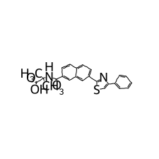 CC(C)(NC(=O)c1ccc2ccc(-c3nc(-c4ccccc4)cs3)cc2c1)C(=O)O